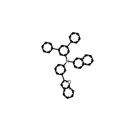 c1ccc(-c2cc(-c3ccccc3)cc(N(c3cccc(-c4cc5ccccc5o4)c3)c3ccc4ccccc4c3)c2)cc1